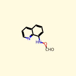 O=CONc1cccc2cccnc12